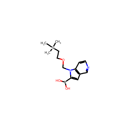 C[Si](C)(C)CCOCn1c(B(O)O)cc2cnccc21